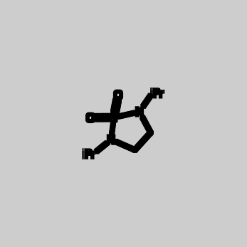 CC(C)N1CCN(C(C)C)S1(=O)=O